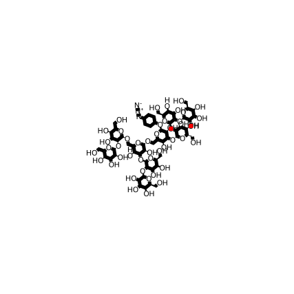 [N-]=[N+]=NC1CCC(O[C@@H]2OC(CO[C@H]3OC(CO[C@H]4OC(CO)[C@@H](O)C(O)[C@H]4O[C@H]4OC(CO)[C@@H](O)C(O)[C@H]4O)[C@@H](O)C(O[C@H]4O[C@@H](CO)[C@@H](O)C(O)C4O[C@H]4O[C@@H](CO)[C@@H](O)C(O)C4O)[C@H]3O)[C@@H](O)C(O[C@H]3O[C@@H](CO)[C@@H](O)C(O)C3O[C@H]3O[C@@H](CO)[C@@H](O)C(O)C3O[C@H]3O[C@@H](CO)[C@@H](O)C(O)C3O)[C@H]2O)CC1